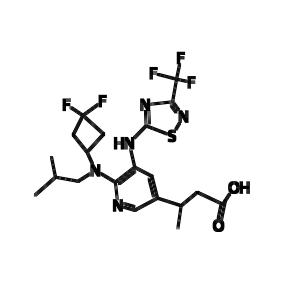 CC(C)CN(c1ncc(C(C)CC(=O)O)cc1Nc1nc(C(F)(F)F)ns1)C1CC(F)(F)C1